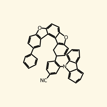 N#Cc1ccc(C2C=Cc3oc4ccc5oc6ccc(-c7ccccc7)cc6c5c4c3C2)c(-n2c3ccccc3c3ccccc32)c1